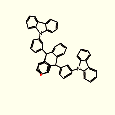 c1cc(-n2c3ccccc3c3ccccc32)cc(C23c4ccccc4C(c4cccc(-n5c6ccccc6c6ccccc65)c4)(c4ccccc42)c2ccccc23)c1